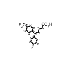 Cc1ccc(C(=CC=CC(=O)O)c2ccc(C(F)(F)F)cc2)cc1